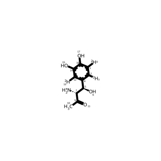 [2H]c1c([2H])c([C@@H](O)[C@@H](N)C(C)=O)c([2H])c(O)c1O